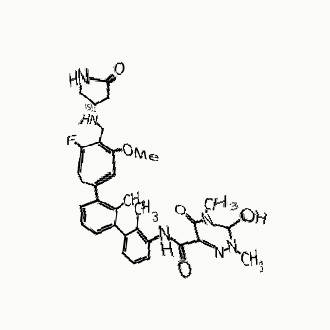 COc1cc(-c2cccc(-c3cccc(NC(=O)C4=NN(C)C(O)N(C)C4=O)c3C)c2C)cc(F)c1CN[C@@H]1CNC(=O)C1